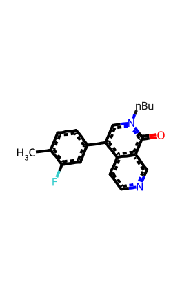 CCCCn1cc(-c2ccc(C)c(F)c2)c2ccncc2c1=O